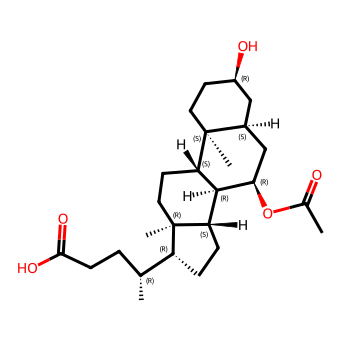 CC(=O)O[C@@H]1C[C@@H]2C[C@H](O)CC[C@]2(C)[C@H]2CC[C@]3(C)[C@@H]([C@H](C)CCC(=O)O)CC[C@H]3[C@H]12